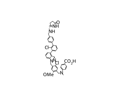 COc1cc(Cn2ncc3c(-c4cccc(-c5ccc(CNC[C@@H]6CCC(=O)N6)cc5)c4Cl)cccc32)c(Cl)cc1CN(C)c1ccc(C(=O)O)cc1